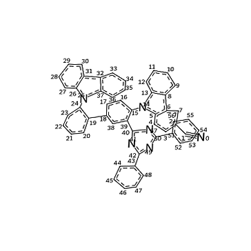 N#Cc1ccc2c(c1)c1ccccc1n2-c1ccc(-c2ccccc2-n2c3ccccc3c3ccccc32)cc1-c1nc(-c2ccccc2)nc(-c2ccccc2)n1